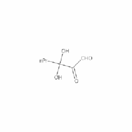 CCCC(O)(O)C(=O)C=O